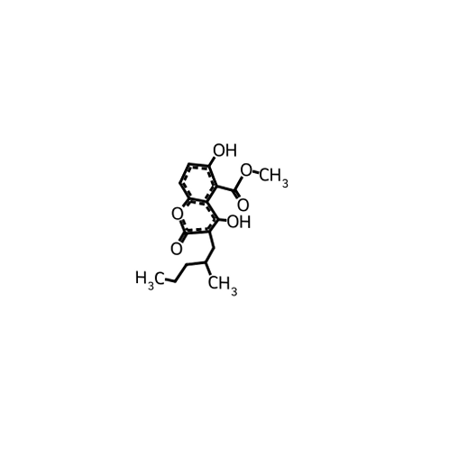 CCCC(C)Cc1c(O)c2c(C(=O)OC)c(O)ccc2oc1=O